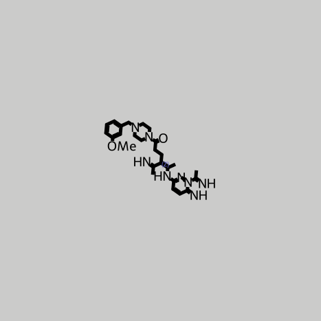 COc1cccc(CN2CCN(C(=O)CC/C(C(C)=N)=C(\C)Nc3ccc(=N)n(C(C)=N)n3)CC2)c1